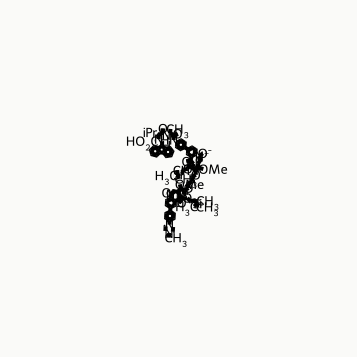 COC1=C2C=[N+]([O-])C3=CC=C(c4ccc(NC(=O)C(C)NC(=O)C(C(C)C)N(CC5c6ccccc6-c6ccccc65)C(=O)O)cc4)CC3C(=O)[N+]2(COCC[Si](C)(C)C)C=C1OCCCOC1=C[N+]2(COCC[Si](C)(C)C)C(=O)C3CC(c4ccc(N5CCN(C)CC5)cc4)=CC=C3[N+]([O-])=CC2=C1OC